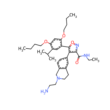 CCCCOc1cc(OCCCC)c(C(C)C)cc1-c1onc(C(=O)NCC)c1-c1ccc2c(c1)CCN(CCN)C2